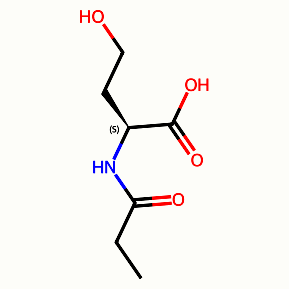 CCC(=O)N[C@@H](CCO)C(=O)O